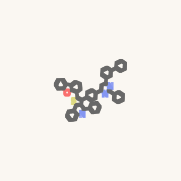 c1ccc(-c2cccc(-c3cc(-c4ccc(-c5c(-c6cccc7c6oc6ccccc67)sc6c5c(-c5ccccc5)nc5ccccc56)cc4)nc(-c4ccccc4)n3)c2)cc1